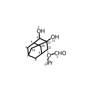 CC(C)OC=O.OC1C2CC3CC(C2)CC1(O)C3